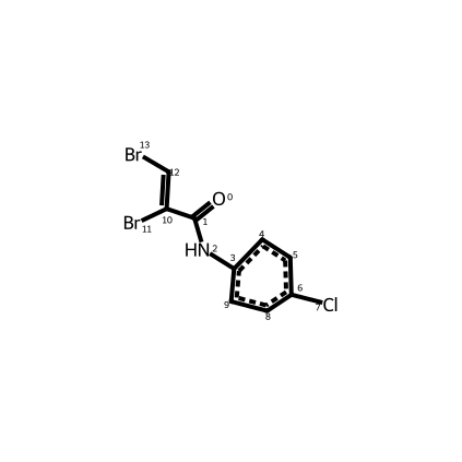 O=C(Nc1ccc(Cl)cc1)C(Br)=CBr